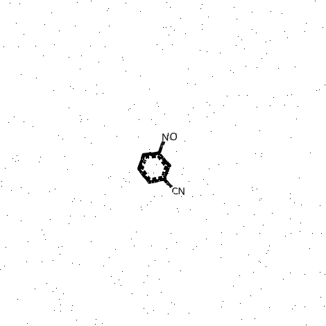 N#Cc1cccc(N=O)c1